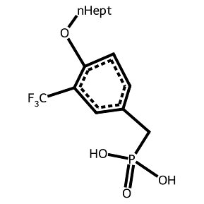 CCCCCCCOc1ccc(CP(=O)(O)O)cc1C(F)(F)F